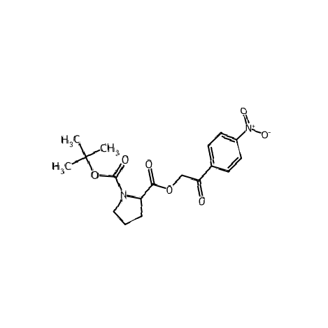 CC(C)(C)OC(=O)N1CCCC1C(=O)OCC(=O)c1ccc([N+](=O)[O-])cc1